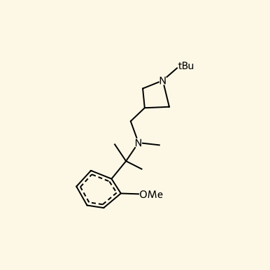 COc1ccccc1C(C)(C)N(C)CC1CN(C(C)(C)C)C1